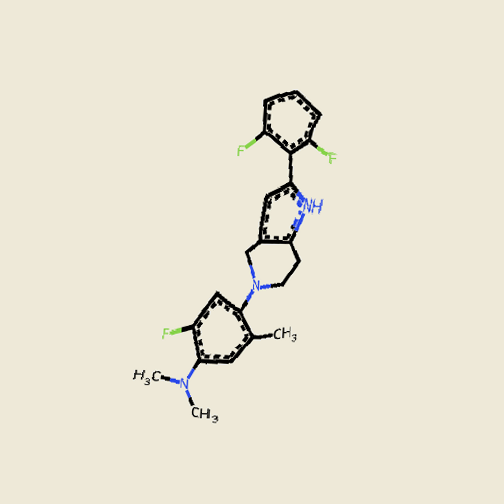 Cc1cc(N(C)C)c(F)cc1N1CCc2[nH]c(-c3c(F)cccc3F)cc2C1